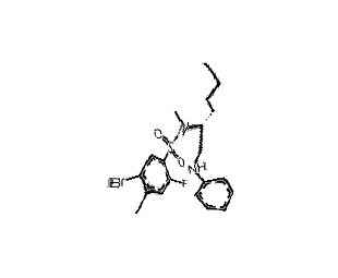 CCCC[C@H](CNc1ccccc1)N(C)S(=O)(=O)c1cc(Br)c(C)cc1F